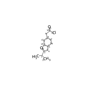 CC(C)c1cc2ccc(CC(=O)Cl)cc2o1